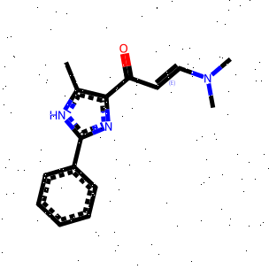 Cc1[nH]c(-c2ccccc2)nc1C(=O)/C=C/N(C)C